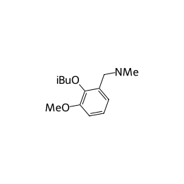 CNCc1cccc(OC)c1OCC(C)C